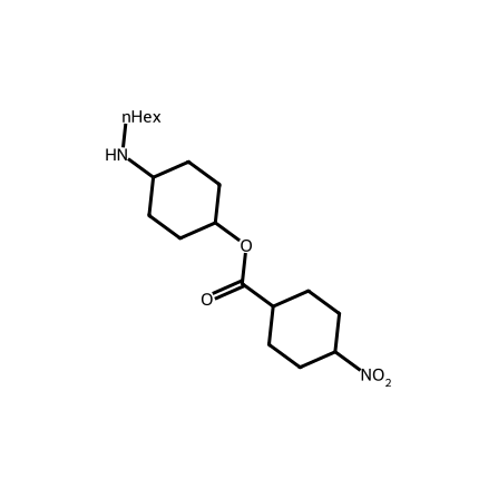 CCCCCCNC1CCC(OC(=O)C2CCC([N+](=O)[O-])CC2)CC1